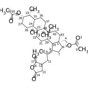 CC(=O)OC[C@]12CC/C(=C(/C)CC3CC(=O)OC3=O)C1C1CCC3[C@@]4(C)CC[C@H](OC(C)=O)[C@H](C)C4CC[C@@]3(C)[C@]1(C)CC2